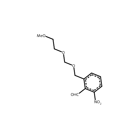 COCCOCOCc1cccc([N+](=O)[O-])c1C=O